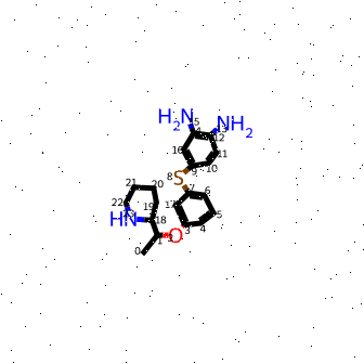 CC(Oc1cccc(Sc2ccc(N)c(N)c2)c1)C1CCCCN1